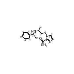 CC(CCn1c[c]nc1C(N)=O)N[C@@H](C)c1ccccc1